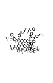 CC(C)(C)c1ccc(N2c3cccc4c3B(c3cc5cc6cc7c8c(c6cc5cc3N4c3ccc4c(c3)C(C)(C)CC4(C)C)N(c3ccc4c(c3)C(C)(C)CC4(C)C)c3cc4c(cc3B8c3oc5cc6c(cc5c3N7c3ccc(C(C)(C)C)cc3)-c3ccccc3C6(C)C)C(C)(C)CC4(C)C)c3oc4cc5c(cc4c32)-c2ccccc2C5(C)C)cc1